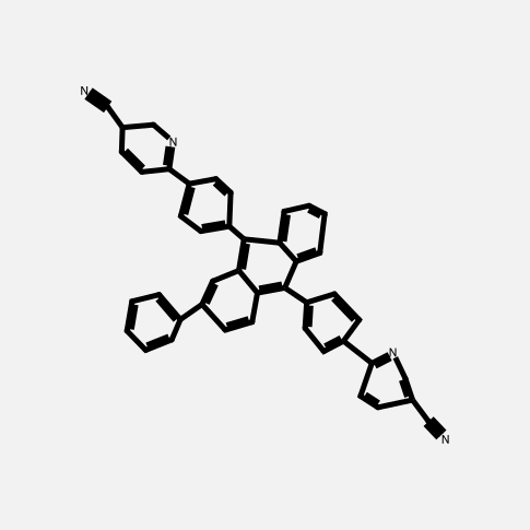 N#Cc1ccc(-c2ccc(-c3c4ccccc4c(-c4ccc(C5=NCC(C#N)C=C5)cc4)c4cc(-c5ccccc5)ccc34)cc2)nc1